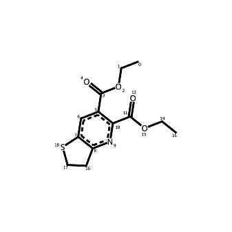 CCOC(=O)c1cc2c(nc1C(=O)OCC)CCS2